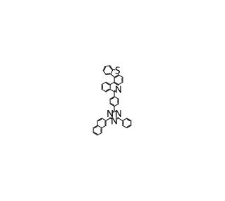 c1ccc(-c2nc(-c3ccc(-c4nc5ccc6sc7ccccc7c6c5c5ccccc45)cc3)nc(-c3ccc4ccccc4c3)n2)cc1